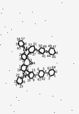 c1ccc(-c2ccc(-c3ccc4c(c3)c3c5c(ccc3n4-c3ccccc3)-c3ccc4c(c3C3CC53)c3cc(-c5ccc(-c6ccccc6)cc5)ccc3n4-c3ccccc3)cc2)cc1